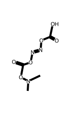 CN(C)OC(=O)ON=NOC(=O)O